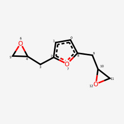 c1cc(CC2CO2)oc1CC1CO1